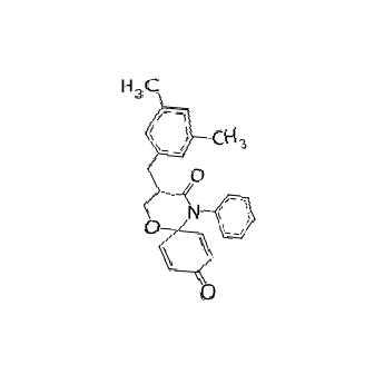 Cc1cc(C)cc(CC2COC3(C=CC(=O)C=C3)N(c3ccccc3)C2=O)c1